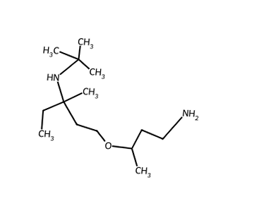 CCC(C)(CCOC(C)CCN)NC(C)(C)C